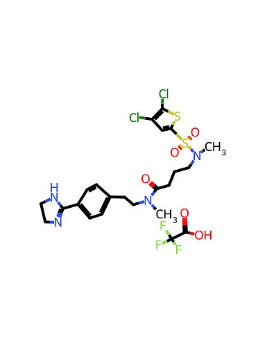 CN(CCc1ccc(C2=NCCN2)cc1)C(=O)CCCN(C)S(=O)(=O)c1cc(Cl)c(Cl)s1.O=C(O)C(F)(F)F